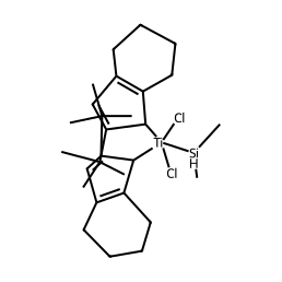 C[SiH](C)[Ti]([Cl])([Cl])([CH]1C(C(C)(C)C)=CC2=C1CCCC2)[CH]1C(C(C)(C)C)=CC2=C1CCCC2